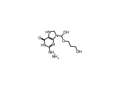 N.Nc1nc2c(c(=O)[nH]1)NCN2C(O)OCCCO